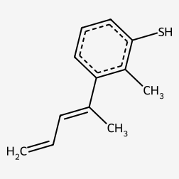 C=C/C=C(\C)c1cccc(S)c1C